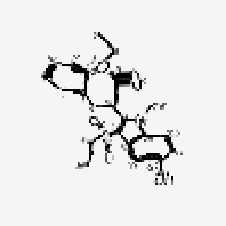 CCOC(=O)C(Cc1ccccc1)c1c(S(=O)(=O)CC)c2cc(O)ccc2n1C